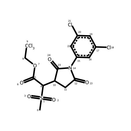 CS(=O)(=O)C(C(=O)OCC(Cl)(Cl)Cl)C1CC(=O)N(c2cc(Cl)cc(Cl)c2)C1=O